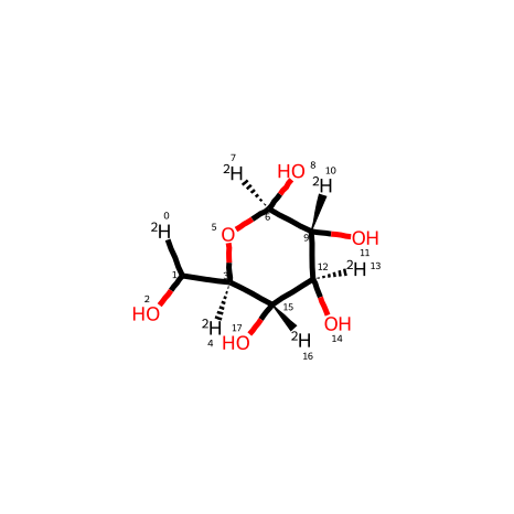 [2H]C(O)[C@@]1([2H])O[C@@]([2H])(O)[C@]([2H])(O)[C@@]([2H])(O)[C@]1([2H])O